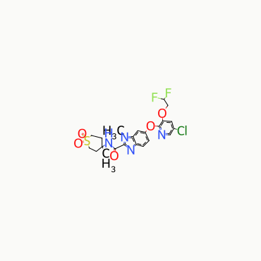 Cn1c(C(=O)NC2(C)CCS(=O)(=O)CC2)nc2ccc(Oc3ncc(Cl)cc3OCC(F)F)cc21